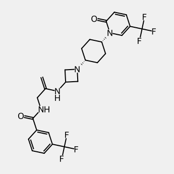 C=C(CNC(=O)c1cccc(C(F)(F)F)c1)NC1CN([C@H]2CC[C@@H](n3cc(C(F)(F)F)ccc3=O)CC2)C1